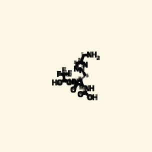 NCc1cnn(C[C@H]2NC(=O)[C@H]2NC(=O)O)n1.O=C(O)C(F)(F)F